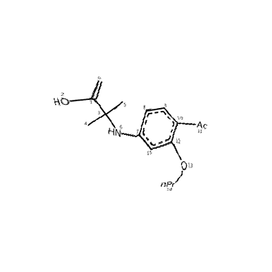 C=C(O)C(C)(C)Nc1ccc(C(C)=O)c(OCCC)c1